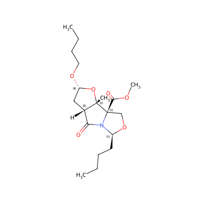 CCCCO[C@H]1C[C@H]2C(=O)N3[C@H](CCCC)OC[C@@]3(C(=O)OC)[C@@]2(C)O1